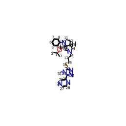 CC(C)Oc1ccccc1N1CC[C@@H]2CN(CCCSc3nnc(-c4cnccn4)n3C)C[C@@H]21